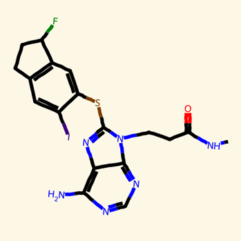 CNC(=O)CCn1c(Sc2cc3c(cc2I)CCC3F)nc2c(N)ncnc21